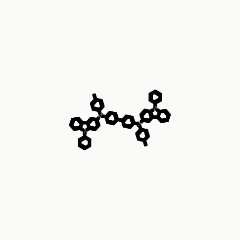 Cc1ccc(N(c2ccc(-c3ccc(N(C4=CCC(C)C=C4)c4ccc5c(c4)C4C=CC=CC4N5c4ccccc4)cc3)cc2)c2ccc3c(c2)c2ccccc2n3C2=CC=CCC2)cc1